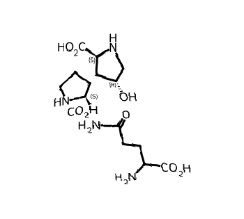 NC(=O)CCC(N)C(=O)O.O=C(O)[C@@H]1CCCN1.O=C(O)[C@@H]1C[C@@H](O)CN1